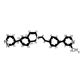 Cc1cc(-c2ccc(CCN3C=Cc4cc(-c5ccnnc5)ccc4C3)cc2)ccn1